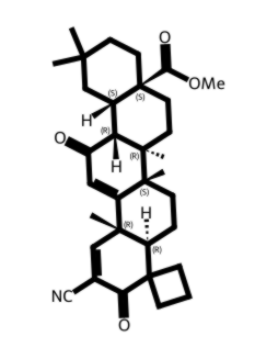 COC(=O)[C@]12CCC(C)(C)C[C@H]1[C@H]1C(=O)C=C3[C@@]4(C)C=C(C#N)C(=O)C5(CCC5)[C@@H]4CC[C@@]3(C)[C@]1(C)CC2